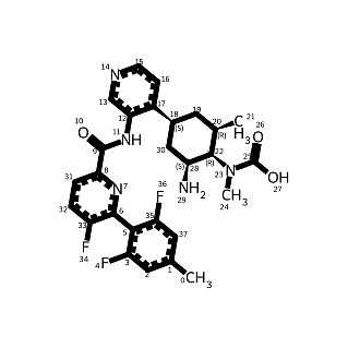 Cc1cc(F)c(-c2nc(C(=O)Nc3cnccc3[C@H]3C[C@@H](C)[C@@H](N(C)C(=O)O)[C@@H](N)C3)ccc2F)c(F)c1